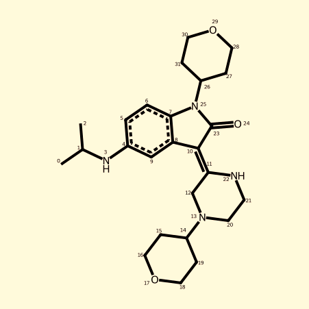 CC(C)Nc1ccc2c(c1)/C(=C1\CN(C3CCOCC3)CCN1)C(=O)N2C1CCOCC1